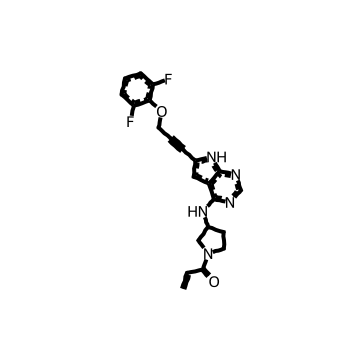 C=CC(=O)N1CCC(Nc2ncnc3[nH]c(C#CCOc4c(F)cccc4F)cc23)C1